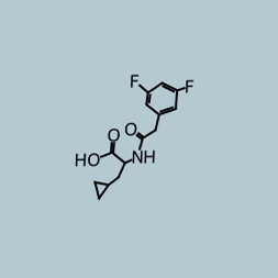 O=C(Cc1cc(F)cc(F)c1)NC(CC1CC1)C(=O)O